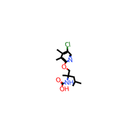 Cc1c(Cl)cnc(OCC(C)(CC(C)C)NC(=O)O)c1C